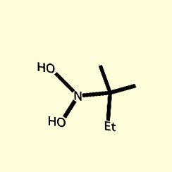 CCC(C)(C)N(O)O